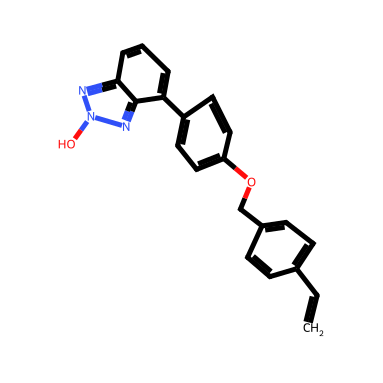 C=Cc1ccc(COc2ccc(-c3cccc4nn(O)nc34)cc2)cc1